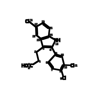 O=C(O)CCc1c(-c2ccc(Cl)c(Cl)c2)[nH]c2ccc(Cl)cc12